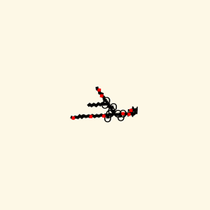 CCCCCC=CCC=CCCCCCCCC(=O)OCC(COC(=O)CCC(OCCCCCCCC)OCCCCCCCC)COC(=O)OCCCN1CCN(C)CC1